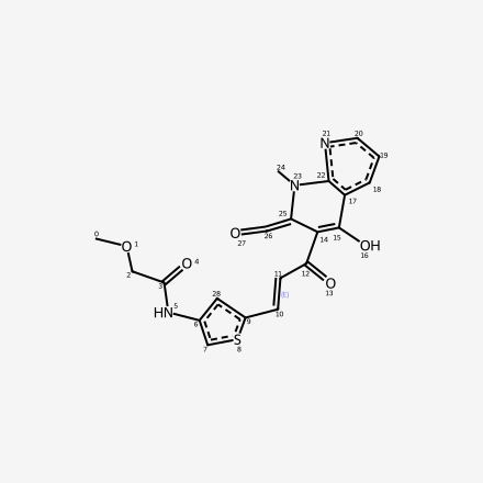 COCC(=O)Nc1csc(/C=C/C(=O)C2=C(O)c3cccnc3N(C)C2=C=O)c1